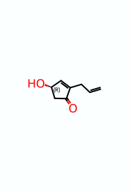 C=CCC1=C[C@H](O)CC1=O